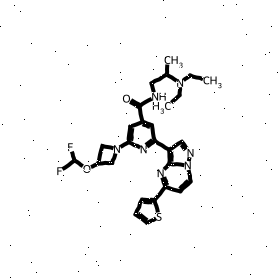 CCN(CC)C(C)CNC(=O)c1cc(-c2cnn3ccc(-c4cccs4)nc23)nc(N2CC(OC(F)F)C2)c1